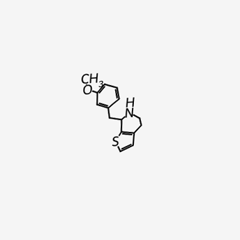 COc1cccc(CC2NCCc3ccsc32)c1